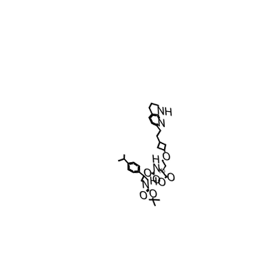 CC(C)c1ccc(C2(OC(=O)N[C@@H](CCOC3CC(CCc4ccc5c(n4)NCCC5)C3)C(=O)O)CN(C(=O)OC(C)(C)C)C2)cc1